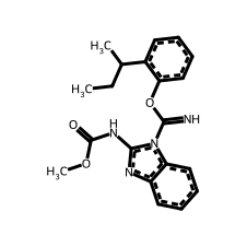 CCC(C)c1ccccc1OC(=N)n1c(NC(=O)OC)nc2ccccc21